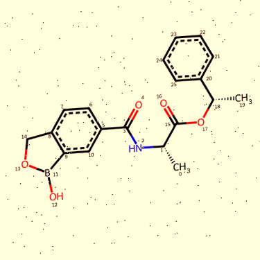 C[C@H](NC(=O)c1ccc2c(c1)B(O)OC2)C(=O)O[C@@H](C)c1ccccc1